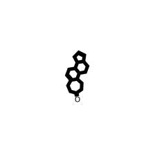 O=C1CCC2=CCC3C4CC=CC4CCC3C2CC1